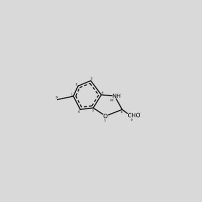 Cc1ccc2c(c1)OC(C=O)N2